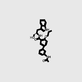 CCCOc1ccc(-c2cccc(NC(C)=O)c2)cc1C(=O)N[C@H](CO)Cc1c[nH]c2ccccc12